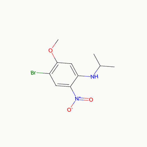 COc1cc(NC(C)C)c([N+](=O)[O-])cc1Br